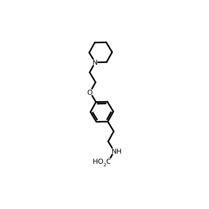 O=C(O)NCCc1ccc(OCCN2CCCCC2)cc1